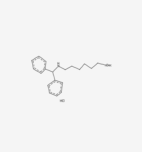 CCCCCCCCCCCCCCCCNC(c1ccccc1)c1ccccc1.Cl